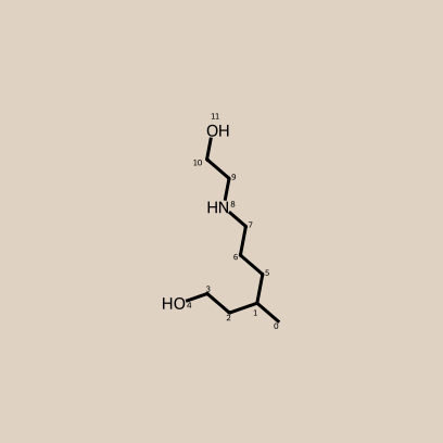 CC(CCO)CCCNCCO